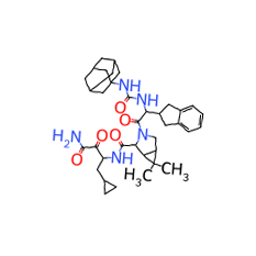 CC1(C)C2CN(C(=O)C(NC(=O)NC34CC5CC(CC(C5)C3)C4)C3Cc4ccccc4C3)C(C(=O)NC(CC3CC3)C(=O)C(N)=O)C21